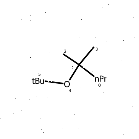 CCCC(C)(C)OC(C)(C)C